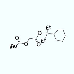 CCC(C)C(=O)OCC(=O)OC(CC)(CC)C1CCCCC1